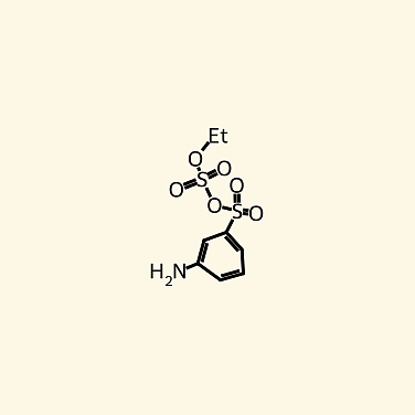 CCOS(=O)(=O)OS(=O)(=O)c1cccc(N)c1